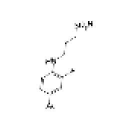 CC(=O)c1ccc(NCCCS(=O)(=O)O)c(F)c1